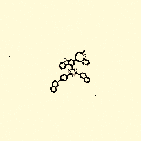 Cc1cccc(-c2cc(-c3nc(-c4ccc(-c5ccc6ccccc6c5)cc4)nc(-c4ccc5ccccc5c4)n3)c3c(c2)oc2ccccc23)cc2ccccc2s1